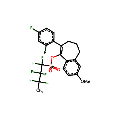 COc1ccc2c(c1)CCCC(c1ccc(F)cc1F)=C2OS(=O)(=O)C(F)(F)C(F)(F)C(F)(F)C(F)(F)F